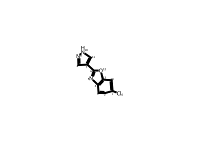 Clc1ccc2nc(-c3cn[nH]c3)oc2c1